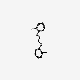 Cc1ccccc1SCCSc1ccccc1C